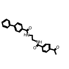 CC(=O)c1ccc(C(=O)NCCNC(=O)c2ccc(-c3ccccc3)cc2)cc1